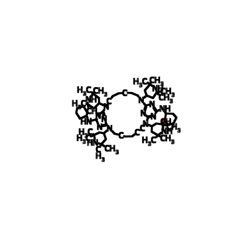 CC1(C)CC(N2CCCCCCN(C3CC(C)(C)NC(C)(C)C3)c3nc(NC4CCCCC4)nc(n3)N(C3CC(C)(C)NC(C)(C)C3)CCCCCCN(C3CC(C)(C)NC(C)(C)C3)c3nc(NC4CCCCC4)nc2n3)CC(C)(C)N1